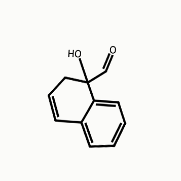 O=CC1(O)CC=Cc2ccccc21